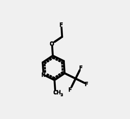 Cc1ncc(OCF)cc1C(F)(F)F